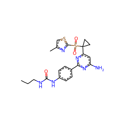 CCCNC(=O)Nc1ccc(-c2nc(N)cc(C3(S(=O)(=O)c4nc(C)cs4)CC3)n2)cc1